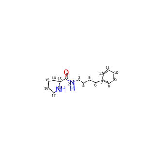 O=C(NCCCCc1ccccc1)C1CCCCN1